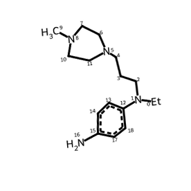 CCN(CCCN1CCN(C)CC1)c1ccc(N)cc1